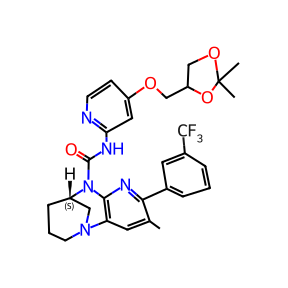 Cc1cc2c(nc1-c1cccc(C(F)(F)F)c1)N(C(=O)Nc1cc(OCC3COC(C)(C)O3)ccn1)[C@H]1CCCN2C1